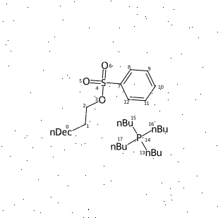 CCCCCCCCCCCCOS(=O)(=O)c1ccccc1.CCCC[P](CCCC)(CCCC)CCCC